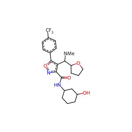 CNC(c1c(C(=O)NC2CCCC(O)C2)noc1-c1ccc(C(F)(F)F)cc1)C1CCCO1